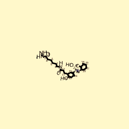 NNC(=O)CCCCCNC(=O)CCc1cc(/N=N/c2ccccc2C(=O)O)ccc1O